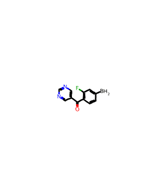 Bc1ccc(C(=O)c2cncnc2)c(F)c1